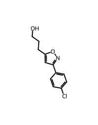 OCCCc1cc(-c2ccc(Cl)cc2)no1